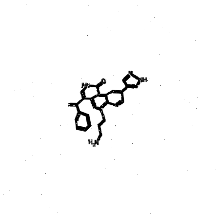 C=C(c1ccccc1)c1c[nH]c(=O)c2c1cc(CCCN)c1ccc(-c3cn[nH]c3)cc12